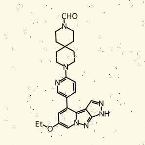 CCOc1cc(-c2ccc(N3CCC4(CCN(C=O)CC4)CC3)nc2)c2c3cn[nH]c3nn2c1